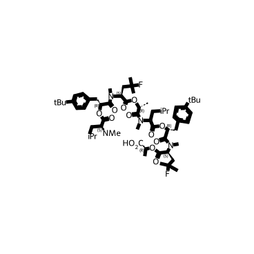 CN[C@@H](CC(C)C)C(=O)O[C@H](Cc1ccc(C(C)(C)C)cc1)C(=O)N(C)[C@@H](CC(C)(C)F)C(=O)O[C@H](C)C(=O)N(C)C(CC(C)C)C(=O)O[C@H](Cc1ccc(C(C)(C)C)cc1)C(=O)N(C)[C@@H](CC(C)(C)F)C(=O)O[C@H](C)C(=O)O